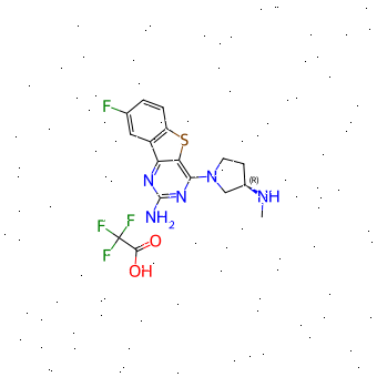 CN[C@@H]1CCN(c2nc(N)nc3c2sc2ccc(F)cc23)C1.O=C(O)C(F)(F)F